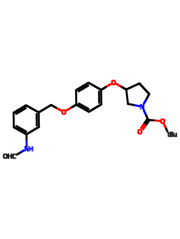 CC(C)(C)OC(=O)N1CCC(Oc2ccc(OCc3cccc(NC=O)c3)cc2)C1